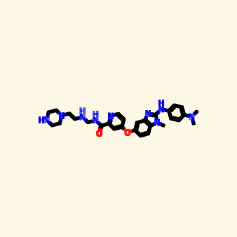 CN(C)c1ccc(Nc2nc3cc(Oc4ccnc(C(=O)NCNCCN5CCNCC5)c4)ccc3n2C)cc1